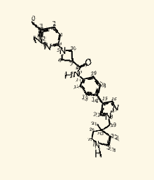 Cc1ccc(N2CC(C(=O)Nc3ccc(-c4cnn(CC5(C)CCNCC5)c4)cc3)C2)nn1